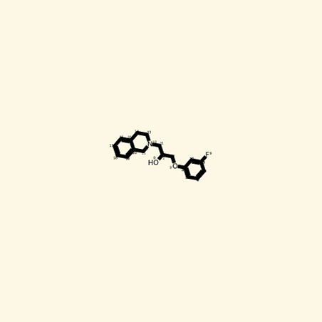 OC(COc1cccc(F)c1)CN1CCc2ccccc2C1